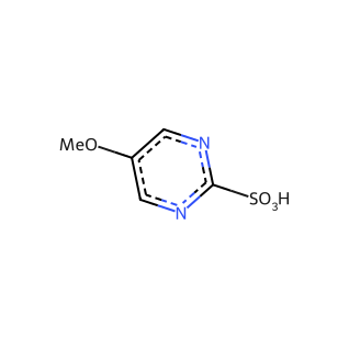 COc1cnc(S(=O)(=O)O)nc1